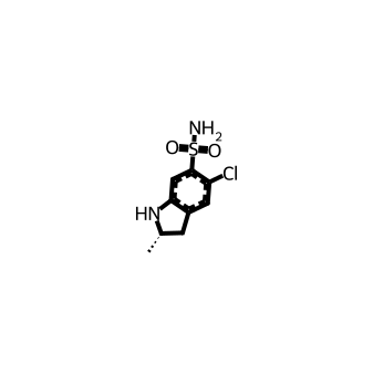 C[C@H]1Cc2cc(Cl)c(S(N)(=O)=O)cc2N1